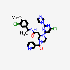 COc1ccc(C(C)NC(=O)CC2CN(C(=O)c3cccnc3)CCN2c2cc(Cl)nc(-n3ccnc3)n2)cc1Cl